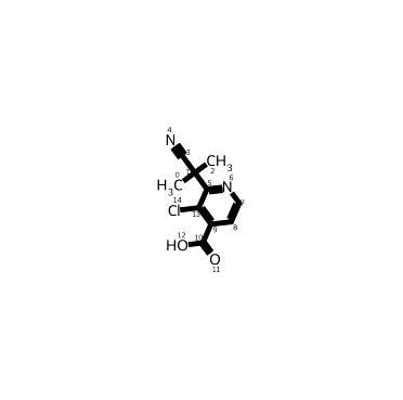 CC(C)(C#N)c1nccc(C(=O)O)c1Cl